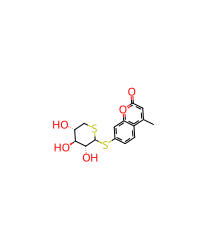 Cc1cc(=O)oc2cc(S[C@@H]3SC[C@@H](O)[C@H](O)[C@H]3O)ccc12